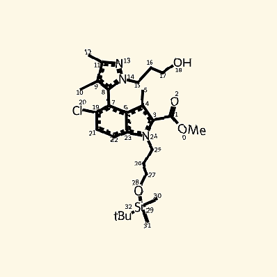 COC(=O)c1c(C)c2c(-c3c(C)c(C)nn3CCCO)c(Cl)ccc2n1CCCO[Si](C)(C)C(C)(C)C